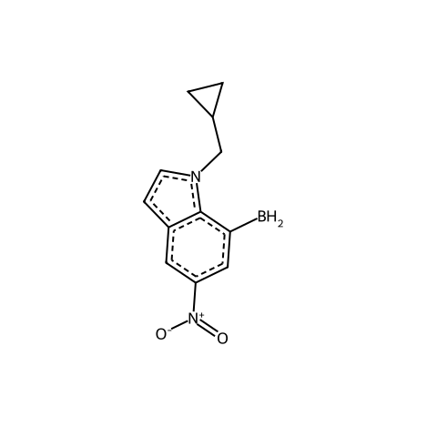 Bc1cc([N+](=O)[O-])cc2ccn(CC3CC3)c12